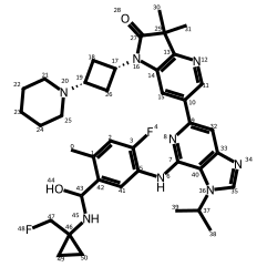 Cc1cc(F)c(Nc2nc(-c3cnc4c(c3)N([C@H]3C[C@@H](N5CCCCC5)C3)C(=O)C4(C)C)cc3ncn(C(C)C)c23)cc1C(O)NC1(CF)CC1